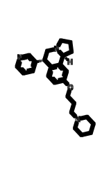 c1cncc([C@@H]2CN3CCC[C@H]3c3cc(OCCCN4CCCCC4)ccc32)c1